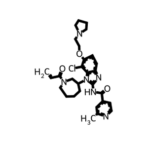 C=CC(=O)N1CCCCC(n2c(NC(=O)c3ccnc(C)c3)nc3ccc(OCCN4CCCC4)c(Cl)c32)C1